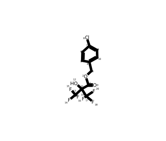 O=C(OCc1ccc(Cl)cc1)C(O)(C(F)(F)F)C(F)(F)F